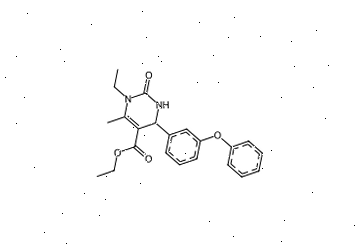 CCOC(=O)C1=C(C)N(CC)C(=O)NC1c1cccc(Oc2ccccc2)c1